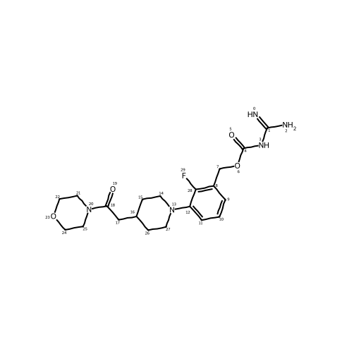 N=C(N)NC(=O)OCc1cccc(N2CCC(CC(=O)N3CCOCC3)CC2)c1F